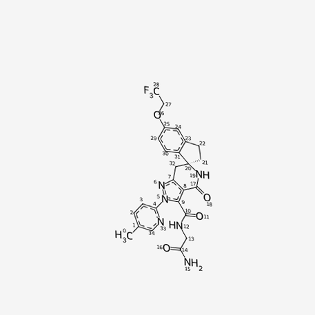 Cc1ccc(-n2nc3c(c2C(=O)NCC(N)=O)C(=O)N[C@@]2(CCc4cc(OCC(F)(F)F)ccc42)C3)nc1